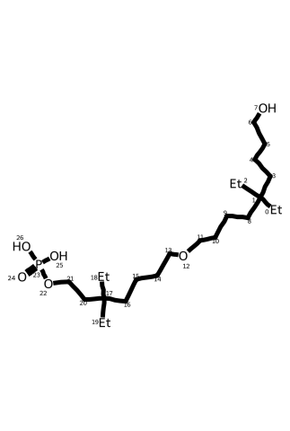 CCC(CC)(CCCCO)CCCCOCCCCC(CC)(CC)CCOP(=O)(O)O